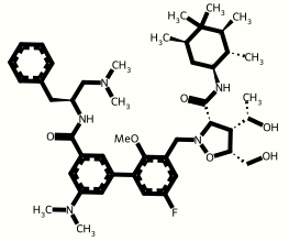 COc1c(CN2O[C@@H](CO)[C@@H]([C@H](C)O)[C@H]2C(=O)N[C@H]2C[C@@H](C)C(C)(C)[C@@H](C)[C@@H]2C)cc(F)cc1-c1cc(C(=O)N[C@@H](Cc2ccccc2)CN(C)C)cc(N(C)C)c1